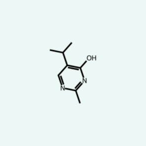 Cc1ncc(C(C)C)c(O)n1